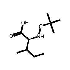 CCC(C)[C@H](NOC(C)(C)C)C(=O)O